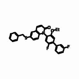 CCOc1cc(-c2cccc(F)c2)c(F)cc1-n1c(=O)ccc2cc(SCc3ccccc3)ccc21